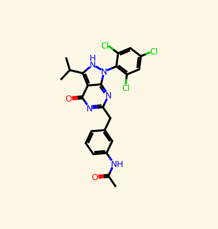 CC(=O)Nc1cccc(Cc2nc3n(-c4c(Cl)cc(Cl)cc4Cl)[nH]c(C(C)C)c-3c(=O)n2)c1